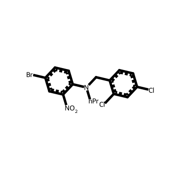 CCCN(Cc1ccc(Cl)cc1Cl)c1ccc(Br)cc1[N+](=O)[O-]